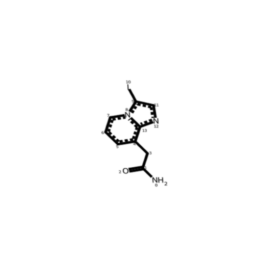 NC(=O)Cc1cccn2c(I)cnc12